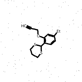 C#CCOc1cc(CC)ccc1C1SCCCS1